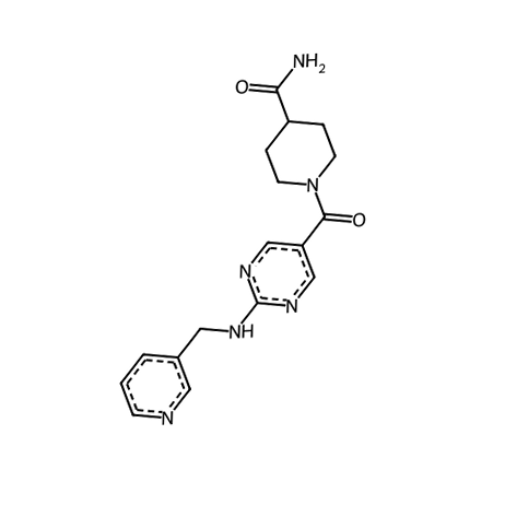 NC(=O)C1CCN(C(=O)c2cnc(NCc3cccnc3)nc2)CC1